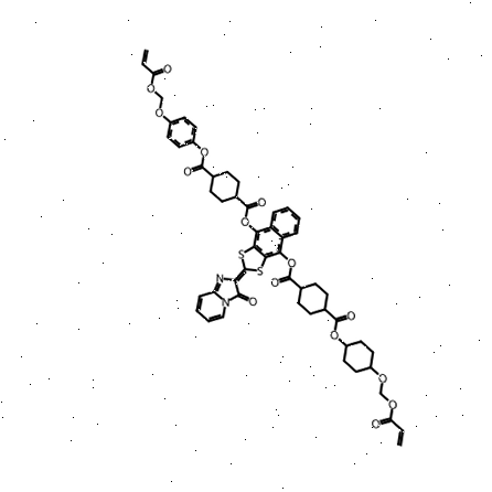 C=CC(=O)OCOc1ccc(OC(=O)C2CCC(C(=O)Oc3c4c(c(OC(=O)C5CCC(C(=O)OC6CCC(OCOC(=O)C=C)CC6)CC5)c5ccccc35)S/C(=C3/N=C5C=CC=CN5C3=O)S4)CC2)cc1